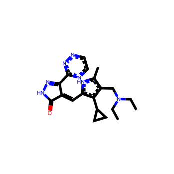 CCN(CC)Cc1c(C)[nH]c(/C=C2/C(=O)NN=C2c2nccnn2)c1C1CC1